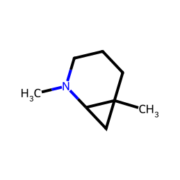 CN1CCCC2(C)CC12